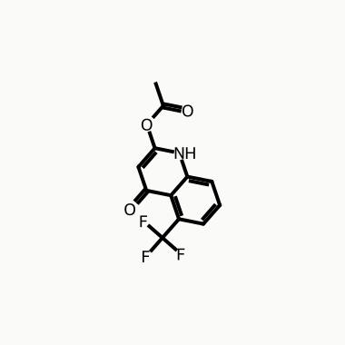 CC(=O)Oc1cc(=O)c2c(C(F)(F)F)cccc2[nH]1